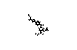 COCC(=O)N1CC(c2ccc(Nc3ncc(C(N)=O)c(NC4CC4)n3)cc2)C1